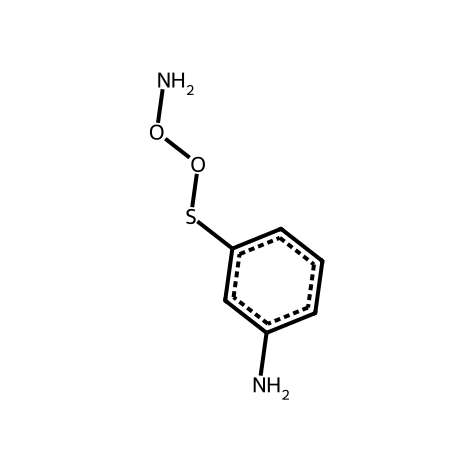 NOOSc1cccc(N)c1